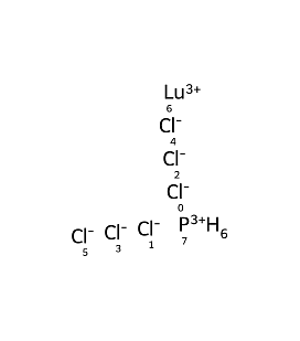 [Cl-].[Cl-].[Cl-].[Cl-].[Cl-].[Cl-].[Lu+3].[PH6+3]